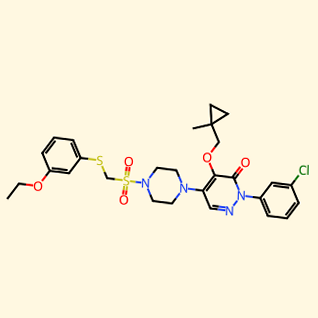 CCOc1cccc(SCS(=O)(=O)N2CCN(c3cnn(-c4cccc(Cl)c4)c(=O)c3OCC3(C)CC3)CC2)c1